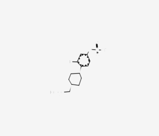 CCOC(=O)C[C@H]1CC[C@@H](c2ccc(OS(=O)(=O)C(F)(F)F)cc2F)CC1